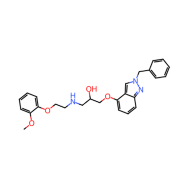 COc1ccccc1OCCNCC(O)COc1cccc2nn(Cc3ccccc3)cc12